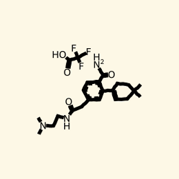 CN(C)CCNC(=O)Cc1ccc(C(N)=O)c(C2=CCC(C)(C)CC2)c1.O=C(O)C(F)(F)F